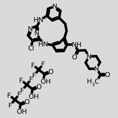 CC(=O)N1CCN(CC(=O)Nc2ccc3cc2CCc2cncc(c2)Nc2ncc(Cl)c(n2)N3)CC1.O=C(O)C(F)(F)F.O=C(O)C(F)(F)F.O=C(O)C(F)(F)F